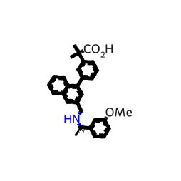 COc1cccc([C@@H](C)NCc2cc(-c3cccc(C(C)(C)C(=O)O)c3)c3ccccc3c2)c1